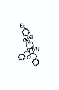 CCc1ccc(S(=O)(=O)N2CCC3(CC2)NC(Cc2ccccc2)C(=O)N3Cc2ccccc2)cc1